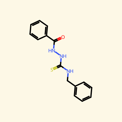 O=C(NNC(=S)NCc1ccccc1)c1ccccc1